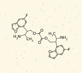 CC(N)C(COC(=O)C(=O)OCC(c1cc(F)cc2ccoc12)C(C)N)c1cc(F)cc2ccoc12